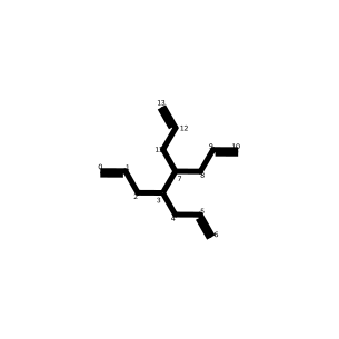 C=CCC(CC=C)C(CC=C)CC=C